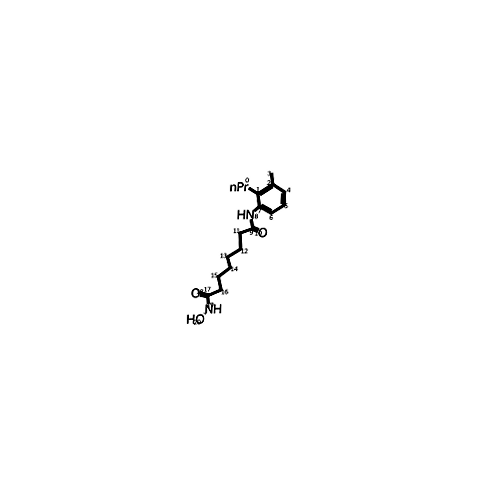 CCCc1c(C)cccc1NC(=O)CCCCCCC(=O)NO